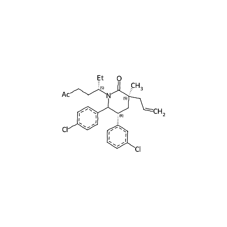 C=CC[C@@]1(C)C[C@H](c2cccc(Cl)c2)C(c2ccc(Cl)cc2)N([C@@H](CC)CCC(C)=O)C1=O